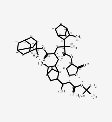 CC1C2CC(C(O)CC(=O)OC(C)(C)C)C(C2)C1CC(CC(C)(C(=O)OC1CCOC1=O)C1C2CCC(C2)C1C)C(=O)OC1(C)C2CC3CC(C2)CC1C3